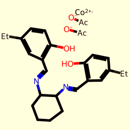 CC(=O)[O-].CC(=O)[O-].CCc1ccc(O)c(C=NC2CCCCC2N=Cc2cc(CC)ccc2O)c1.[Co+2]